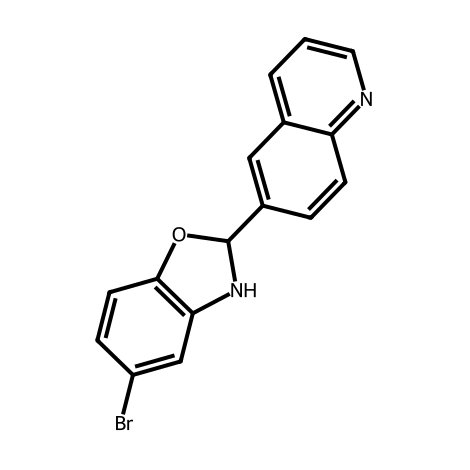 Brc1ccc2c(c1)NC(c1ccc3ncccc3c1)O2